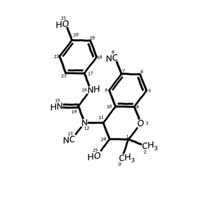 CC1(C)Oc2ccc(C#N)cc2C(N(C#N)C(=N)Nc2ccc(O)cc2)C1O